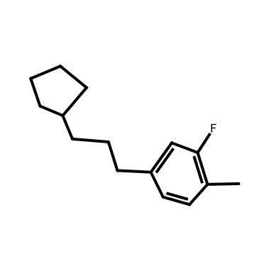 Cc1ccc(CCCC2CCCC2)cc1F